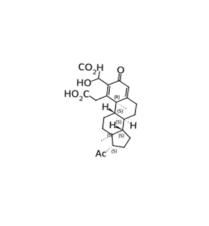 CC(=O)[C@H]1CC[C@H]2[C@@H]3CCC4=CC(=O)C(C(O)C(=O)O)=C(CC(=O)O)[C@]4(C)[C@H]3CC[C@]12C